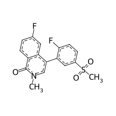 Cn1cc(-c2cc(S(C)(=O)=O)ccc2F)c2cc(F)ccc2c1=O